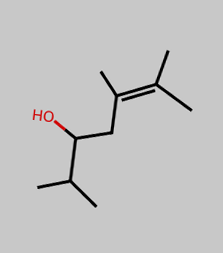 CC(C)=C(C)CC(O)C(C)C